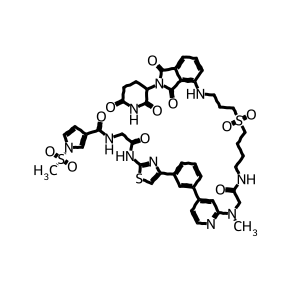 CN(CC(=O)NCCCCS(=O)(=O)CCCNc1cccc2c1C(=O)N(C1CCC(=O)NC1=O)C2=O)c1cc(-c2cccc(-c3csc(NC(=O)CNC(=O)c4ccn(S(C)(=O)=O)c4)n3)c2)ccn1